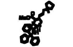 COC(=O)C1=C(C=CC[N+]2(C)CCCC2)CS[C@H]2[C@H](NC(c3ccccc3)(c3ccccc3)c3ccccc3)C(=O)N12